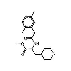 COC(=O)C(CC1CCSCC1)NC(=O)Cc1cc(C)ccc1C